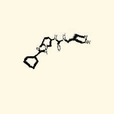 O=C(NCc1cn[nH]c1)Nc1ccc2nc(-c3ccccc3)nn2c1